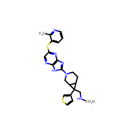 O=C(O)NCC1(c2ccsc2)C2CCN(c3nc4nc(Sc5cccnc5C(F)(F)F)cnc4[nH]3)CC21